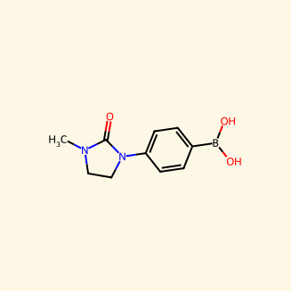 CN1CCN(c2ccc(B(O)O)cc2)C1=O